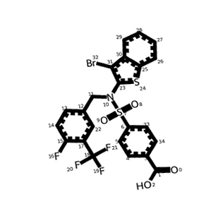 O=C(O)c1ccc(S(=O)(=O)N(Cc2ccc(F)c(C(F)(F)F)c2)c2sc3ccccc3c2Br)cc1